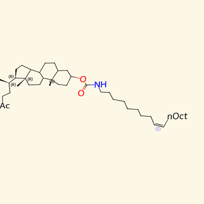 CCCCCCCC/C=C\CCCCCCCCNC(=O)OC1CC[C@@]2(C)C(CCC3C2CC[C@@]2(C)C3CC[C@@H]2[C@H](C)CCC(C)=O)C1